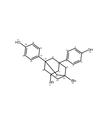 CCCC12CC3(c4ccc(O)cc4)CC(c4ccc(O)cc4)(C1)CC(C(C)(C)C)(C2)C3